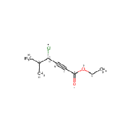 CCOC(=O)C#C[C@@H](Cl)C(C)C